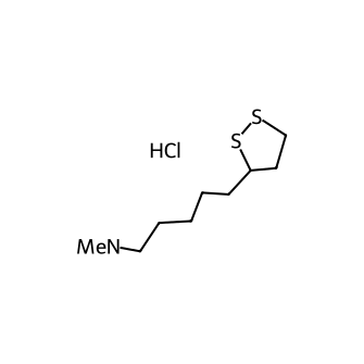 CNCCCCCC1CCSS1.Cl